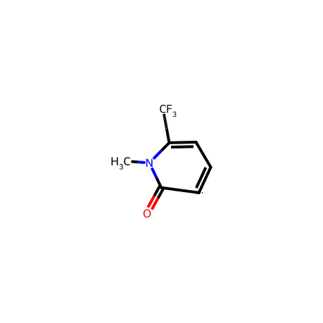 Cn1c(C(F)(F)F)cc[c]c1=O